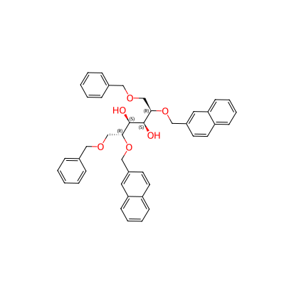 O[C@@H]([C@H](O)[C@@H](COCc1ccccc1)OCc1ccc2ccccc2c1)[C@@H](COCc1ccccc1)OCc1ccc2ccccc2c1